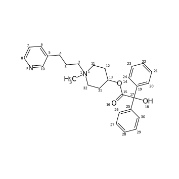 C[N+]1(CCCc2cccnc2)CCC(OC(=O)C(O)(c2ccccc2)c2ccccc2)CC1